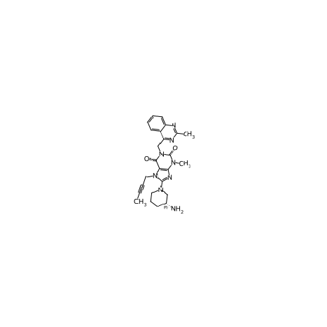 CC#CCn1c(N2CCC[C@@H](N)C2)nc2c1c(=O)n(Cc1nc(C)nc3ccccc13)c(=O)n2C